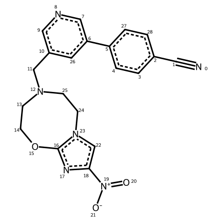 N#Cc1ccc(-c2cncc(CN3CCOc4nc([N+](=O)[O-])cn4CC3)c2)cc1